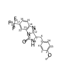 COc1ccc(CC2NC(=O)n3c2nc2ccc(C(F)(F)F)cc23)cc1